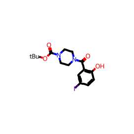 CC(C)(C)OC(=O)N1CCN(C(=O)c2cc(I)ccc2O)CC1